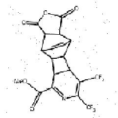 COC(=O)C1=NC(C(F)(F)F)=C(C(F)(F)F)C2C1C1C3C=CC(C4C(=O)OC(=O)C34)C21